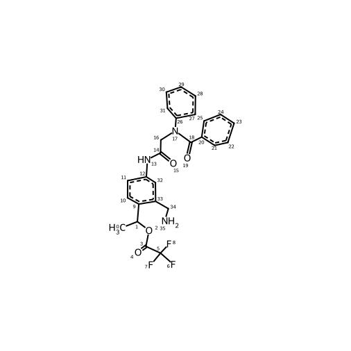 CC(OC(=O)C(F)(F)F)c1ccc(NC(=O)CN(C(=O)c2ccccc2)c2ccccc2)cc1CN